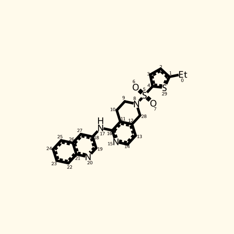 CCc1ccc(S(=O)(=O)N2CCc3c(ccnc3Nc3cnc4ccccc4c3)C2)s1